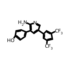 Nc1ncc(-c2cc(C(F)(F)F)cc(C(F)(F)F)c2)cc1-c1ccc(O)cc1